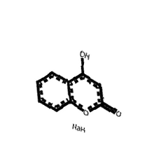 O=c1cc(O)c2ccccc2o1.[NaH]